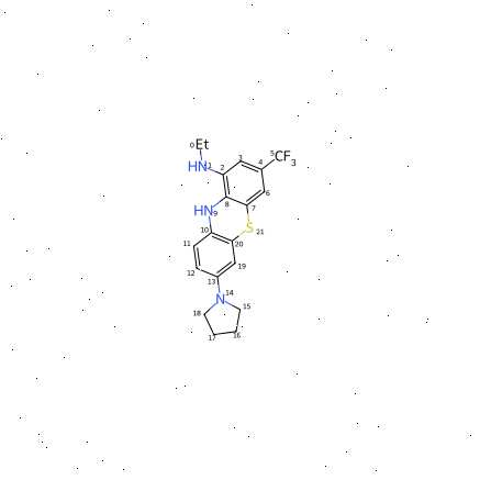 CCNc1cc(C(F)(F)F)cc2c1Nc1ccc(N3CCCC3)cc1S2